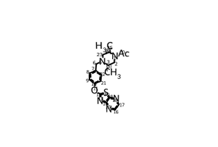 CC(=O)N1C[C@H](C)N(Cc2ccc(Oc3nc4nccnc4s3)cc2)C[C@@H]1C